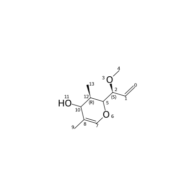 C=C[C@H](OC)C1OC=C(C)C(O)[C@H]1C